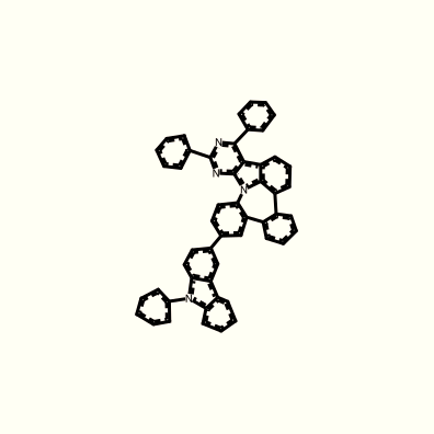 c1ccc(-c2nc(-c3ccccc3)c3c4cccc5c4n(c3n2)-c2ccc(-c3ccc4c(c3)c3ccccc3n4-c3ccccc3)cc2-c2ccccc2-5)cc1